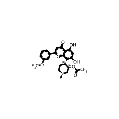 CN1CC[C@H](c2c(O)cc(O)c3c(=O)cc(-c4cccc(OC(F)(F)F)c4)oc23)[C@H](OC(=O)C(F)(F)F)C1